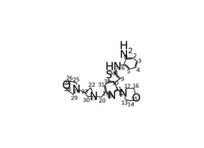 Nc1ccccc1Nc1cc2c(N3CCOCC3)nc(CN3CC(N4CCOCC4)C3)cc2s1